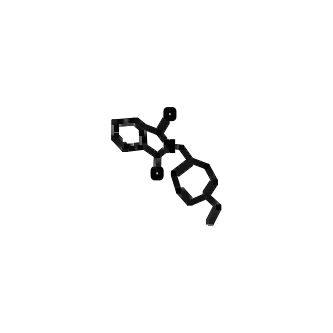 C=CC1=CCC(CN2C(=O)c3ccccc3C2=O)=CC=C1